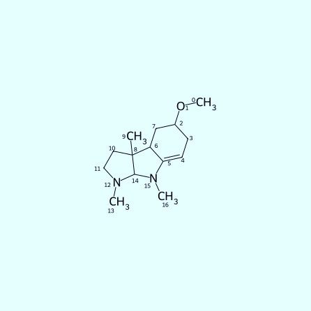 COC1CC=C2C(C1)C1(C)CCN(C)C1N2C